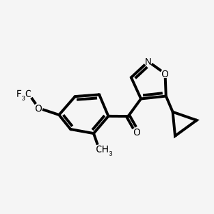 Cc1cc(OC(F)(F)F)ccc1C(=O)c1cnoc1C1CC1